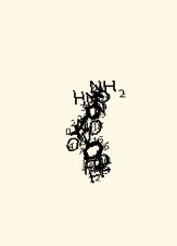 CC1(C)C(=O)N(c2ccc(OC(F)(F)F)cc2)C(=O)N1Cc1ccnc(NC(N)=O)c1